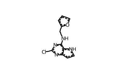 Clc1nc(NCc2ccco2)c2[nH]ccc2n1